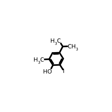 Cc1cc(C(C)C)cc(I)c1O